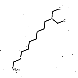 CCCCCCCCCCCCCCCCCC[SiH](CCl)CCl